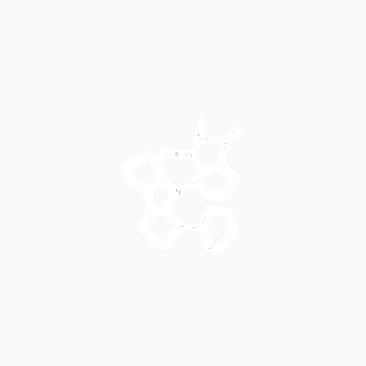 CN1C(=O)c2cccc(-n3c4ccccc4c4cccc(-c5ccccc5)c43)c2C1=O